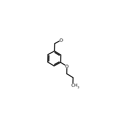 CCCOc1cccc(C[O])c1